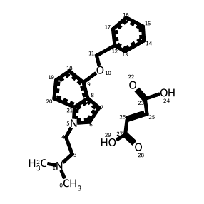 CN(C)CCn1ccc2c(OCc3ccccc3)cccc21.O=C(O)/C=C/C(=O)O